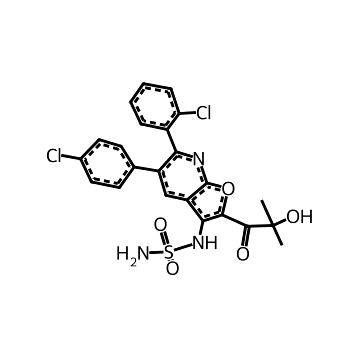 CC(C)(O)C(=O)c1oc2nc(-c3ccccc3Cl)c(-c3ccc(Cl)cc3)cc2c1NS(N)(=O)=O